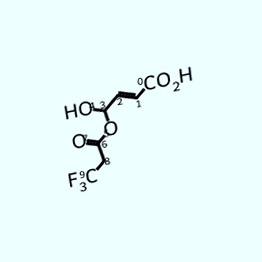 O=C(O)C=CC(O)OC(=O)CC(F)(F)F